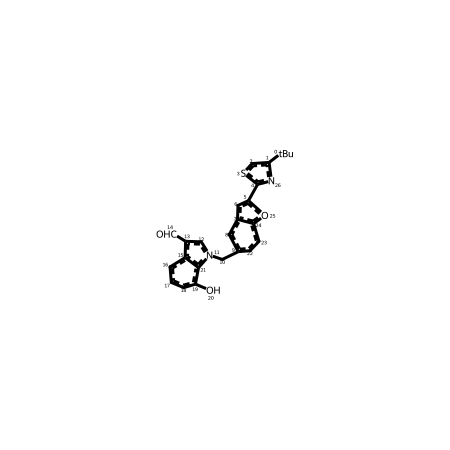 CC(C)(C)c1csc(-c2cc3cc(Cn4cc(C=O)c5cccc(O)c54)ccc3o2)n1